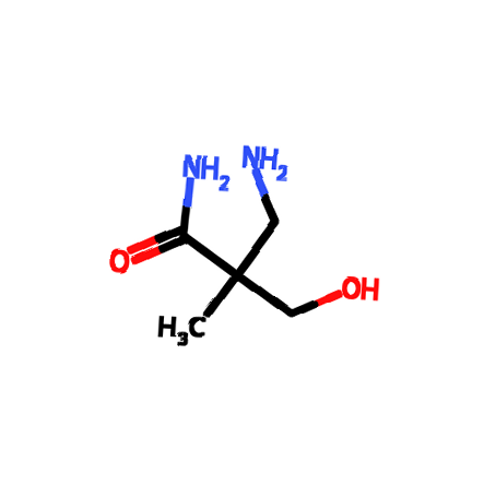 CC(CN)(CO)C(N)=O